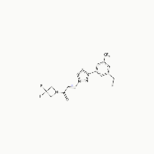 O=C(/C=C/n1cnc(-c2cc(CF)cc(C(F)(F)F)c2)n1)N1CC(F)(F)C1